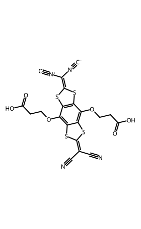 [C-]#[N+]C([N+]#[C-])=C1Sc2c(OCCC(=O)O)c3c(c(OCCC(=O)O)c2S1)SC(=C(C#N)C#N)S3